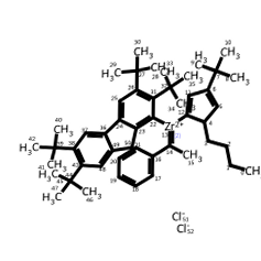 CCCCC1C=C(C(C)(C)C)C=[C]1/[Zr+2](=[C](\C)c1ccccc1)[c]1c2c(cc(C(C)(C)C)c1C(C)(C)C)-c1cc(C(C)(C)C)c(C(C)(C)C)cc1C2.[Cl-].[Cl-]